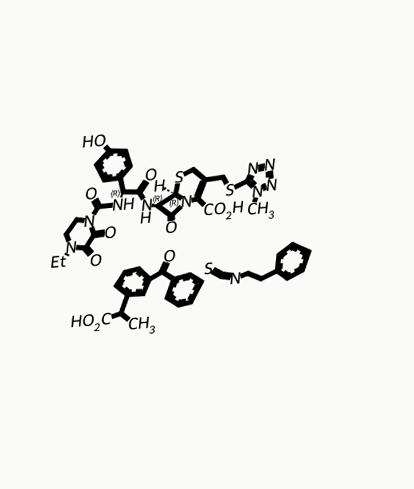 CC(C(=O)O)c1cccc(C(=O)c2ccccc2)c1.CCN1CCN(C(=O)N[C@@H](C(=O)N[C@@H]2C(=O)N3C(C(=O)O)=C(CSc4nnnn4C)CS[C@H]23)c2ccc(O)cc2)C(=O)C1=O.S=C=NCCc1ccccc1